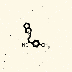 Cc1ccc(C(C#N)CCN2CC3CCCC3C2)cc1